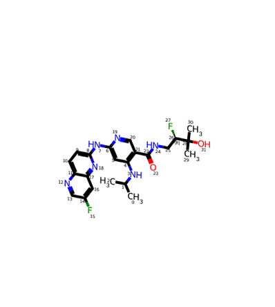 CC(C)Nc1cc(Nc2ccc3ncc(F)cc3n2)ncc1C(=O)NC[C@@H](F)C(C)(C)O